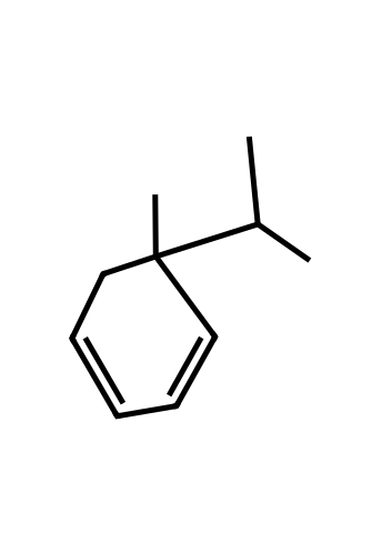 CC(C)C1(C)C=CC=CC1